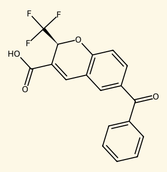 O=C(O)C1=Cc2cc(C(=O)c3ccccc3)ccc2O[C@@H]1C(F)(F)F